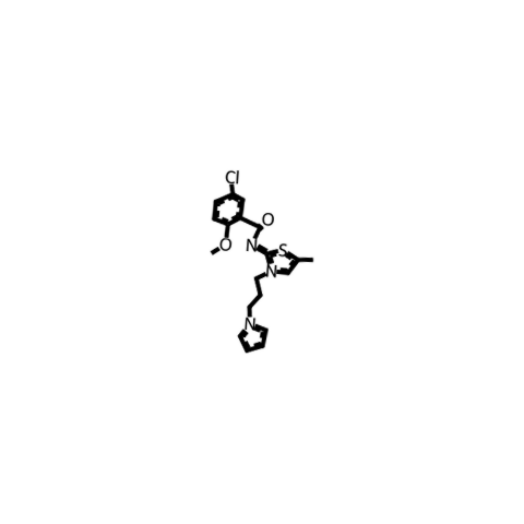 COc1ccc(Cl)cc1C(=O)/N=c1\sc(C)cn1CCCn1cccc1